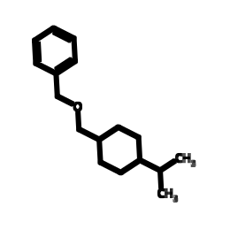 CC(C)C1CCC(COCc2ccccc2)CC1